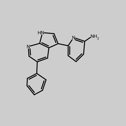 Nc1cccc(-c2c[nH]c3ncc(-c4ccccc4)cc23)n1